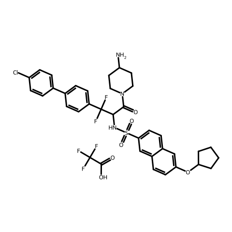 NC1CCN(C(=O)C(NS(=O)(=O)c2ccc3cc(OC4CCCC4)ccc3c2)C(F)(F)c2ccc(-c3ccc(Cl)cc3)cc2)CC1.O=C(O)C(F)(F)F